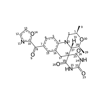 C[C@@H]1CN2c3ccc(C(=O)c4ncco4)cc3CC3(C(=O)NC(=O)NC3=O)[C@H]2[C@H](C)O1